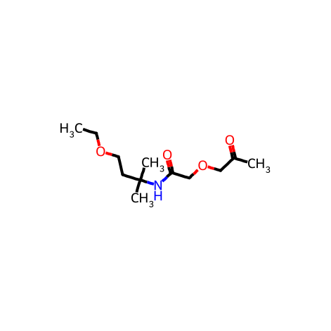 CCOCCC(C)(C)NC(=O)COCC(C)=O